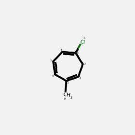 CC1=CCC(Cl)=CC=C1